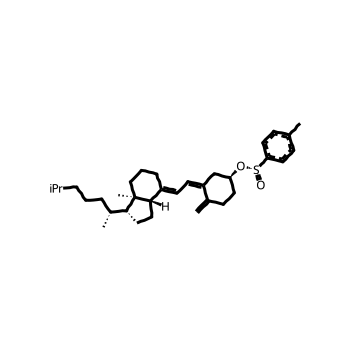 C=C1CC[C@H](O[S@@](=O)c2ccc(C)cc2)C/C1=C/C=C1\CCC[C@]2(C)[C@@H]([C@H](C)CCCC(C)C)CC[C@@H]12